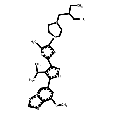 CCC(CC)CN1CCN(c2sc(-c3n[nH]c(-c4cc(OC)c5ncnn5c4)c3C(C)C)nc2C)CC1